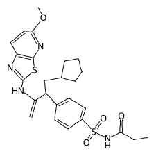 C=C(Nc1nc2ccc(OC)nc2s1)C(CC1CCCC1)c1ccc(S(=O)(=O)NC(=O)CC)cc1